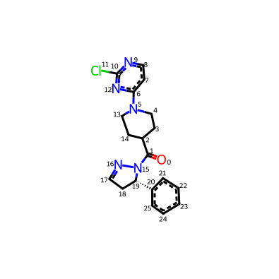 O=C(C1CCN(c2ccnc(Cl)n2)CC1)N1N=CC[C@H]1c1ccccc1